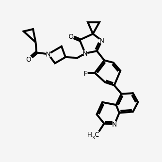 Cc1ccc2c(-c3ccc(C4=NC5(CC5)C(=O)N4CC4CN(C(=O)C5CC5)C4)c(F)c3)cccc2n1